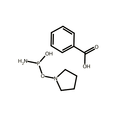 NP(O)ON1CCCC1.O=C(O)c1ccccc1